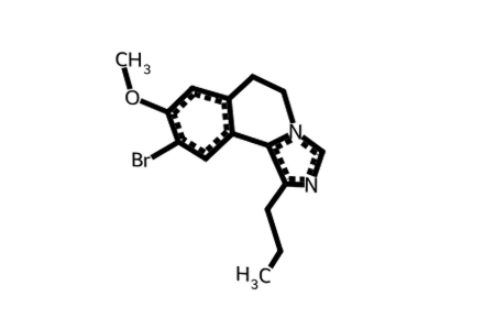 CCCc1ncn2c1-c1cc(Br)c(OC)cc1CC2